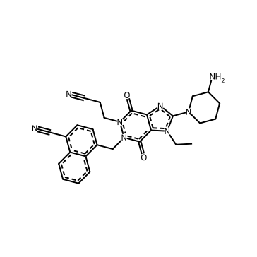 CCn1c(N2CCCC(N)C2)nc2c(=O)n(CCC#N)n(Cc3ccc(C#N)c4ccccc34)c(=O)c21